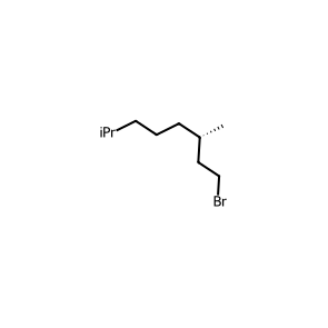 CC(C)CCC[C@H](C)CCBr